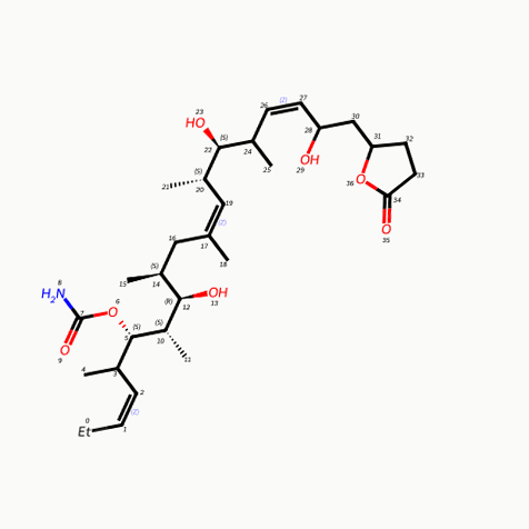 CC/C=C\C(C)[C@H](OC(N)=O)[C@@H](C)[C@H](O)[C@@H](C)C/C(C)=C\[C@H](C)[C@@H](O)C(C)/C=C\C(O)CC1CCC(=O)O1